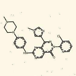 CN1CCN(c2ccc(Nc3ncc4c(=O)n(-c5ncccc5Cl)nc(-c5cn(C)cn5)c4n3)cc2)CC1